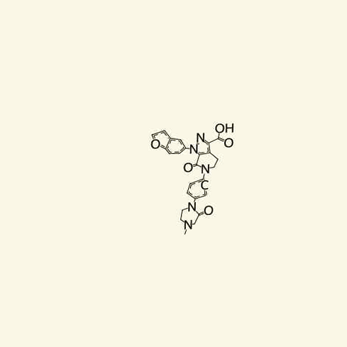 CN1CCN(c2ccc(N3CCc4c(C(=O)O)nn(-c5ccc6occc6c5)c4C3=O)cc2)C(=O)C1